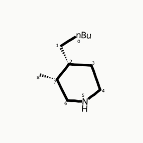 CCCCC[C@@H]1CCNC[C@@H]1C